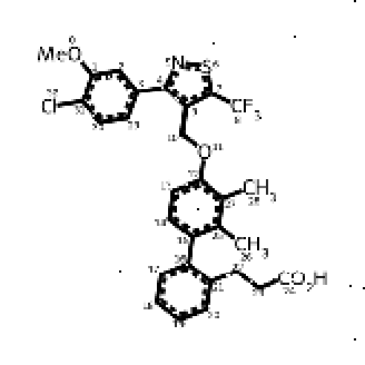 COc1cc(-c2nsc(C(F)(F)F)c2COc2ccc(-c3ccccc3CCC(=O)O)c(C)c2C)ccc1Cl